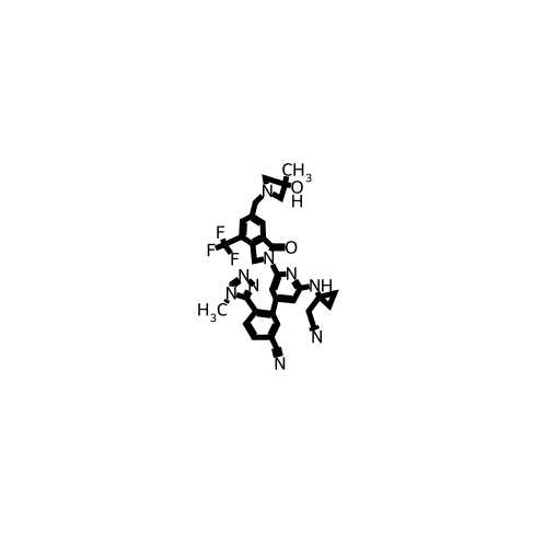 Cn1cnnc1-c1ccc(C#N)cc1-c1cc(NC2(CC#N)CC2)nc(N2Cc3c(cc(CN4CC(C)(O)C4)cc3C(F)(F)F)C2=O)c1